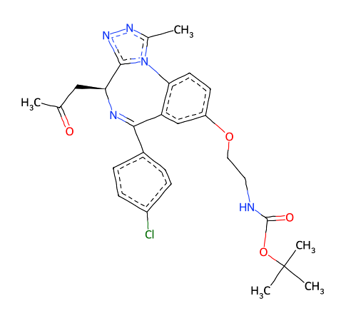 CC(=O)C[C@@H]1N=C(c2ccc(Cl)cc2)c2cc(OCCNC(=O)OC(C)(C)C)ccc2-n2c(C)nnc21